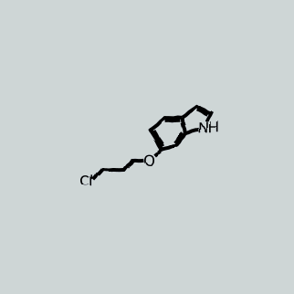 ClCCCOc1ccc2cc[nH]c2c1